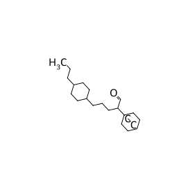 CCCC1CCC(CCCC(C=O)C23CCC(CC2)CC3)CC1